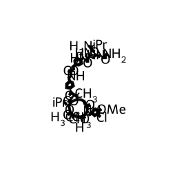 COc1ccc(C[C@H]2NC(=O)/C=C/CC([C@H](C)[C@H]3O[C@@H]3c3ccc(CNC(=O)OCc4ccc(NC(=O)[C@H](CCCNC(N)=O)NC(=O)[C@@H](N)C(C)C)cc4)cc3)OC(=O)[C@H](CC(C)C)OC(=O)C(C)(C)CNC2=O)cc1Cl